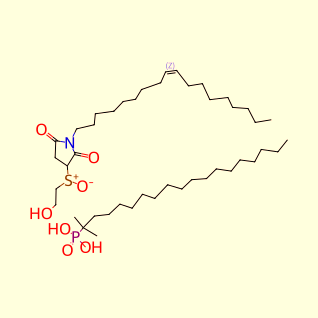 CCCCCCCC/C=C\CCCCCCCCN1C(=O)CC([S+]([O-])CCO)C1=O.CCCCCCCCCCCCCCCCCC(C)(C)P(=O)(O)O